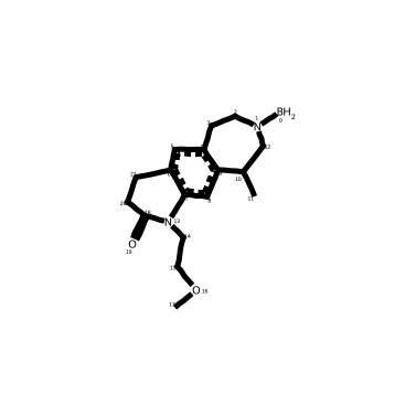 BN1CCc2cc3c(cc2C(C)C1)N(CCOC)C(=O)CC3